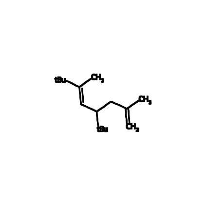 C=C(C)CC(/C=C(\C)C(C)(C)C)C(C)(C)C